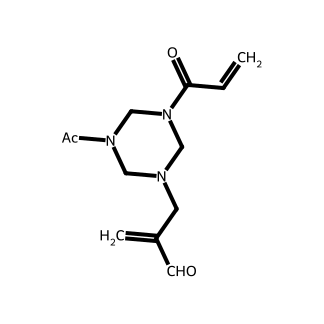 C=CC(=O)N1CN(CC(=C)C=O)CN(C(C)=O)C1